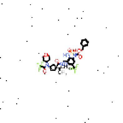 CC(C)[C@]1(C(=O)NCc2cc(C(F)(F)F)cc3c2NS(=O)(=O)N3C(=O)OCc2ccccc2)CC[C@@H](N(C(=O)C(F)(F)F)C2CCOCC2)C1